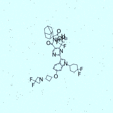 CC(F)(F)c1nc(-c2cn(C3CCC(F)(F)CC3)c3cc(O[C@H]4C[C@@H](N5CC(F)(F)C5)C4)ccc23)ncc1C(=O)NC1(C(=O)O)C2CC3CC(C2)CC1C3